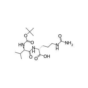 CC(C)[C@@H](NC(=O)OC(C)(C)C)C(=O)N[C@H](CCCNC(N)=O)C(=O)O